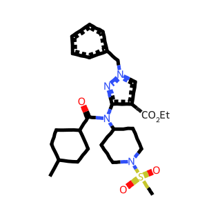 CCOC(=O)c1cn(Cc2ccccc2)nc1N(C(=O)C1CCC(C)CC1)C1CCN(S(C)(=O)=O)CC1